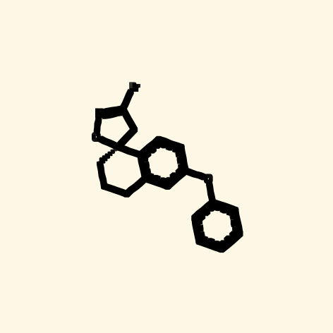 BrC1=NO[C@@]2(CCCc3cc(Oc4ccccc4)ccc32)C1